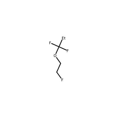 CCC(F)(F)OCCF